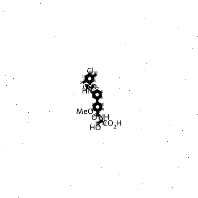 COc1cc(-c2cccc(NS(=O)(=O)c3cc(C)c(Cl)cc3C)c2)ccc1C(=O)N[C@@H](CO)C(=O)O